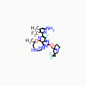 Cc1cc(N)nc(-c2nc3c4c(nc(OC[C@@]56CCCN5CC5(CC5(F)F)C6)nc4c2F)NCCNCC[C@H](C)O3)c1C(F)(F)F